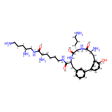 NCCC[C@H](N)CNC(=O)[C@@H](N)CCCCNC(=O)[C@@H]1Cc2cccc(c2)-c2ccc(O)c(c2)C[C@H](N)C(=O)N[C@@H](CCCN)C(=O)N1